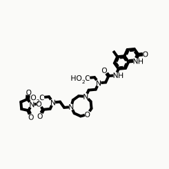 Cc1cc(NC(=O)CN(CCN2CCOCCN(CCN(CC(=O)O)CC(=O)ON3C(=O)CCC3=O)CC2)CC(=O)O)cc2[nH]c(=O)ccc12